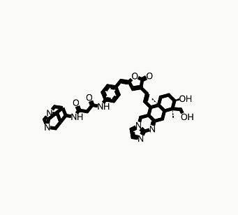 C[C@]12CC[C@@H](O)[C@@](C)(CO)C1CC1=Nc3nccn3CC1C2/C=C/C1=CC(=C\c2ccc(NC(=O)CC(=O)NC3C4CN5CC3CN(C4)C5)cc2)/OC1=O